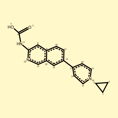 C1CC1.O=C(O)Nc1cc2ccc(-c3ccncc3)cc2cn1